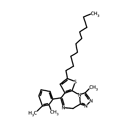 CCCCCCCCCCc1cc2c(s1)-n1c(C)nnc1CN=C2c1cccc(C)c1C